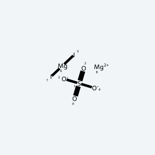 O=S(=O)([O-])[O-].[I][Mg][I].[Mg+2]